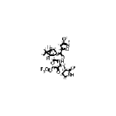 CC1(C)[C@@H]2[C@@H](C(=O)N[C@H](C[C@@H]3CCNC3=O)C(=O)COC(F)(F)F)N(C(=O)c3cc(C(F)(F)F)no3)C[C@@H]21